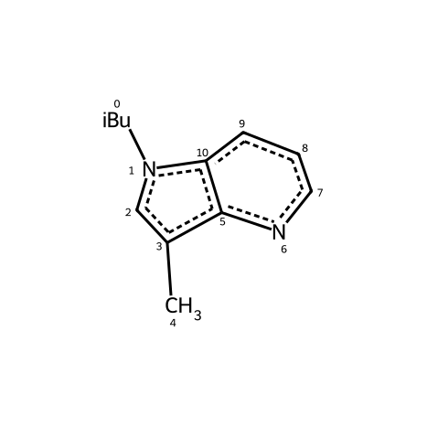 CCC(C)n1cc(C)c2ncccc21